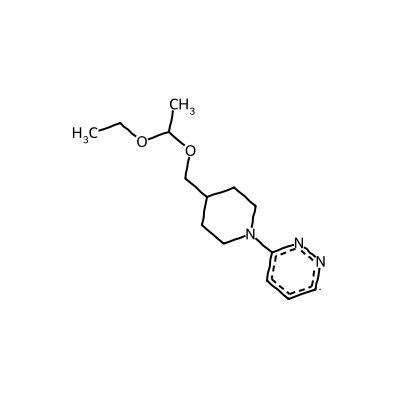 CCOC(C)OCC1CCN(c2cc[c]nn2)CC1